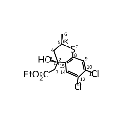 CCOC(=O)C[C@]1(O)C[C@@H](C)Sc2cc(Cl)c(Cl)cc21